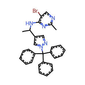 Cc1ncc(Br)c(NC(C)c2cnn(C(c3ccccc3)(c3ccccc3)c3ccccc3)c2)n1